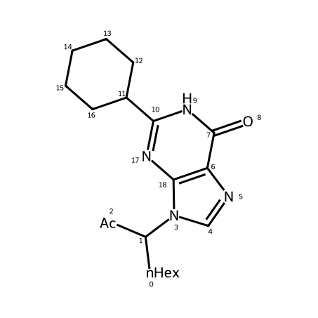 CCCCCCC(C(C)=O)n1cnc2c(=O)[nH]c(C3CCCCC3)nc21